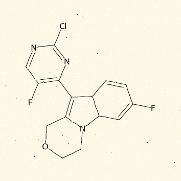 FC1=CC2C(C=C1)C(c1nc(Cl)ncc1F)=C1COCCN12